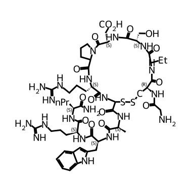 CCC[C@H](NC(=O)[C@H](CCCNC(=N)N)NC(=O)[C@H](Cc1cc2ccccc2[nH]1)NC(=O)[C@H](C)NC(=O)C1NC(=O)[C@H](CCCNC(=N)N)NC(=O)C2CCCN2C(=O)[C@H](CC(=O)O)NC(=O)[C@H](CO)NC(=O)C(CC)NC(=O)[C@@H](NC(=O)CN)CSS1)C(N)=O